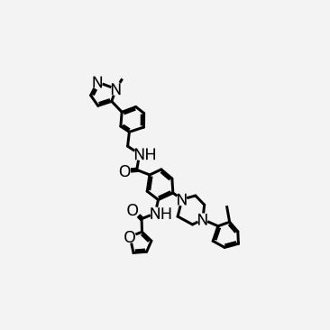 Cc1ccccc1N1CCN(c2ccc(C(=O)NCc3cccc(-c4ccnn4C)c3)cc2NC(=O)c2ccco2)CC1